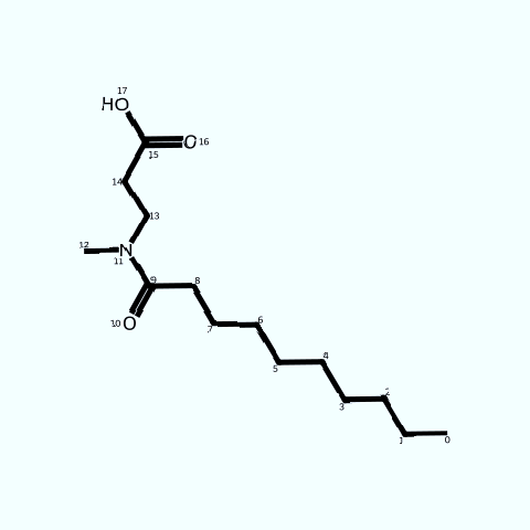 CCCCCCCCCC(=O)N(C)CCC(=O)O